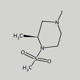 C[C@H]1CN(I)CCN1S(C)(=O)=O